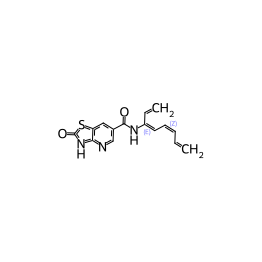 C=C/C=C\C=C(/C=C)NC(=O)c1cnc2[nH]c(=O)sc2c1